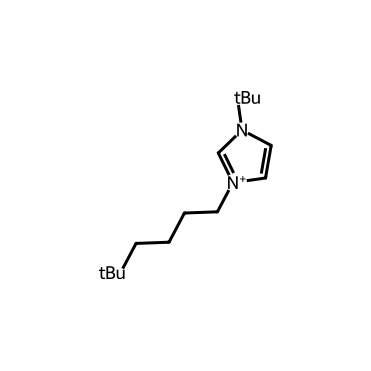 CC(C)(C)CCCC[n+]1ccn(C(C)(C)C)c1